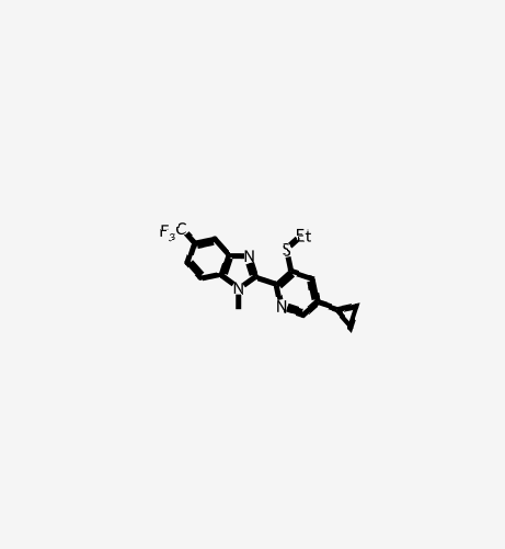 CCSc1cc(C2CC2)cnc1-c1nc2cc(C(F)(F)F)ccc2n1C